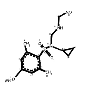 COc1cc(C)c(S(=O)(=O)N(CNCN=O)C2CC2)c(C)c1